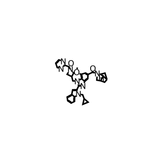 COc1cc(C(=O)N2CC3CC4CC2[C@H]43)cc2nc(-c3cc4ccccc4n3CC3CC3)n(CC3CN(C(=O)c4ncccn4)C3)c12